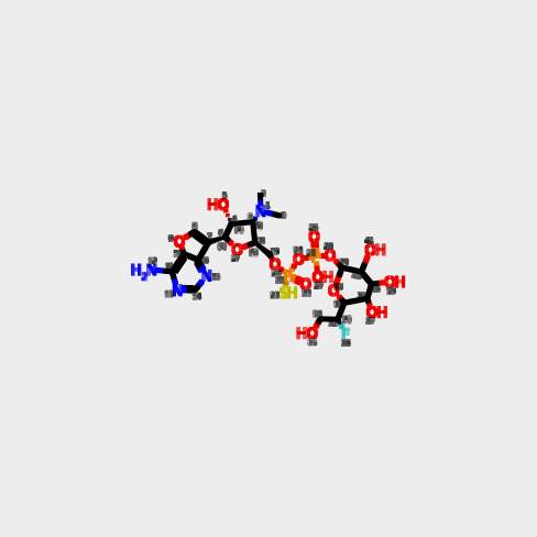 CN(C)[C@H]1[C@@H](O)[C@H](c2coc3c(N)ncnc23)O[C@@H]1COP(=O)(S)OP(=O)(O)OC1OC([C@@H](F)CO)C(O)C(O)C1O